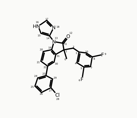 CC1(Cc2cc(F)cc(F)c2)C(=O)N(c2c[nH]cn2)c2ccc(-c3cccc(Cl)c3)cc21